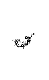 COCCn1cc(-c2ccc(-c3cnc(C(=O)Nc4ccc(C(=O)N5CCN(C(=O)C6CC[N+](C)(C)CC6)CC5)c(Cl)c4)n3C)c(F)c2F)c(-c2ccccc2)n1